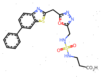 O=C(O)CCNS(=O)(=O)NCc1nnc(Cc2nc3ccc(-c4ccccc4)cc3s2)o1